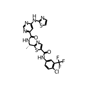 C[C@H](NC(=O)c1cc(Nc2nccs2)ncn1)c1ncc(C(=O)Nc2ccc(Cl)c(C(F)(F)F)c2)s1